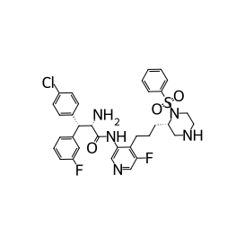 N[C@H](C(=O)Nc1cncc(F)c1CCC[C@H]1CNCCN1S(=O)(=O)c1ccccc1)[C@@H](c1ccc(Cl)cc1)c1cccc(F)c1